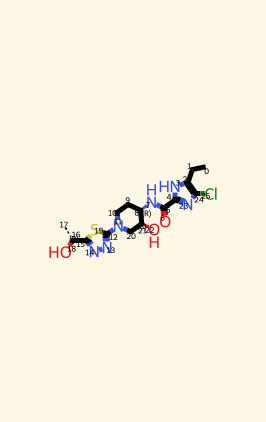 CCc1[nH]c(C(=O)N[C@@H]2CCN(c3nnc([C@@H](C)O)s3)C[C@@H]2O)nc1Cl